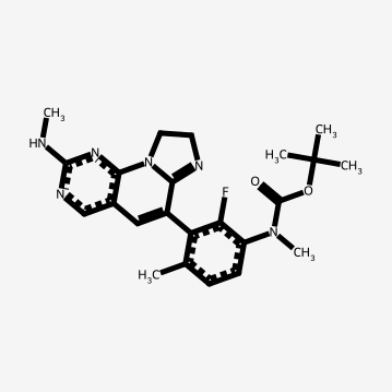 CNc1ncc2c(n1)N1CCN=C1C(c1c(C)ccc(N(C)C(=O)OC(C)(C)C)c1F)=C2